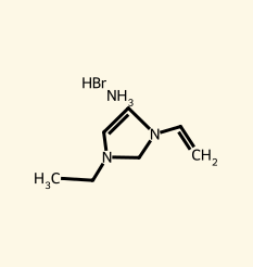 Br.C=CN1C=CN(CC)C1.N